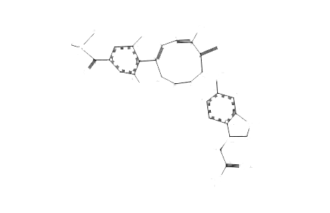 C=C1/C(F)=C\C=C(\c2c(C)cc(C(=O)N(C)C)cc2C)CCC[C@H]1Oc1ccc2c(c1)OC[C@H]2CC(=O)O